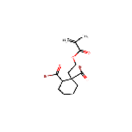 C=C(C)C(=O)OCCC1(C(=O)Br)CCCCC1C(=O)Br